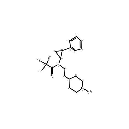 CN1CCC(CCN(C(=O)C(F)(F)F)C2CC2c2ccccc2)CC1